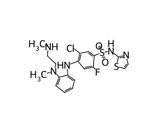 CNCCN(C)c1ccccc1Nc1cc(F)c(S(=O)(=O)Nc2nccs2)cc1Cl